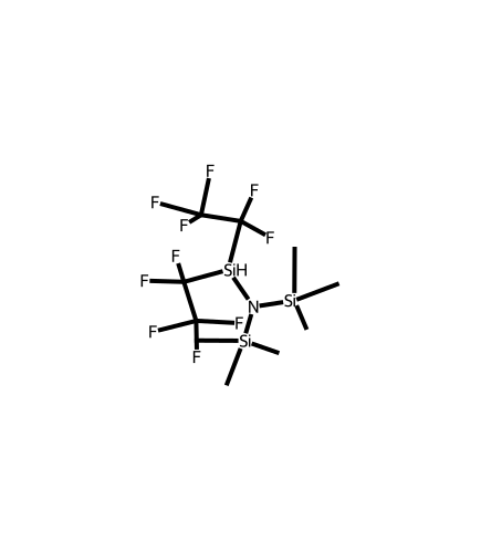 C[Si](C)(C)N([SiH](C(F)(F)C(F)(F)F)C(F)(F)C(F)(F)F)[Si](C)(C)C